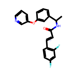 CC(NC(=O)/C=C/c1ccc(F)cc1F)c1cccc(Oc2cccnc2)c1